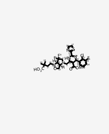 COC(=O)C1=C(CN2CC(F)(F)[C@H]3[C@@H]2CON3CCC(C)(C)C(=O)O)NC(c2nccs2)=NC1c1cccc(F)c1Cl